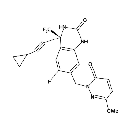 COc1ccc(=O)n(Cc2cc3c(cc2F)[C@@](C#CC2CC2)(C(F)(F)F)NC(=O)N3)n1